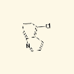 Clc1cccc2ncccc12